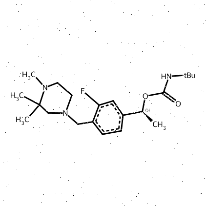 C[C@H](OC(=O)NC(C)(C)C)c1ccc(CN2CCN(C)C(C)(C)C2)c(F)c1